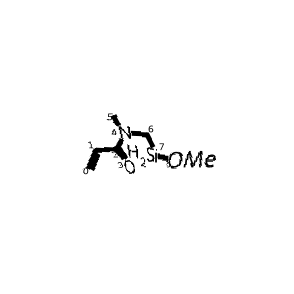 C=CC(=O)N(C)C[SiH2]OC